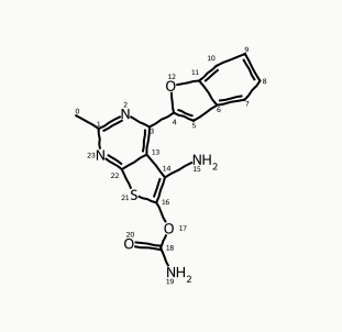 Cc1nc(-c2cc3ccccc3o2)c2c(N)c(OC(N)=O)sc2n1